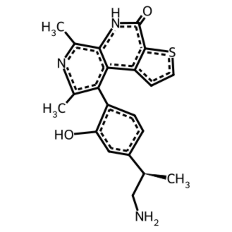 Cc1nc(C)c2[nH]c(=O)c3sccc3c2c1-c1ccc([C@@H](C)CN)cc1O